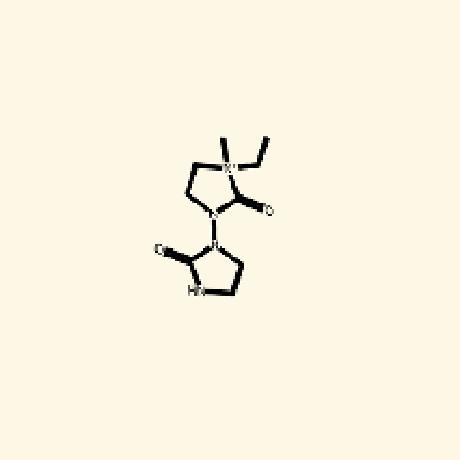 CC[N+]1(C)CCN(N2CCNC2=O)C1=O